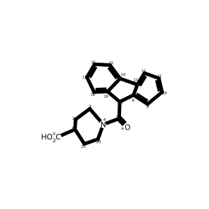 O=C(O)C1CCN(C(=O)C2c3ccccc3-c3ccccc32)CC1